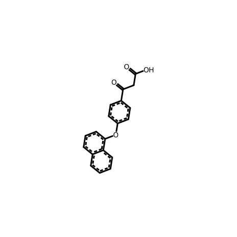 O=C(O)CC(=O)c1ccc(Oc2cccc3ccccc23)cc1